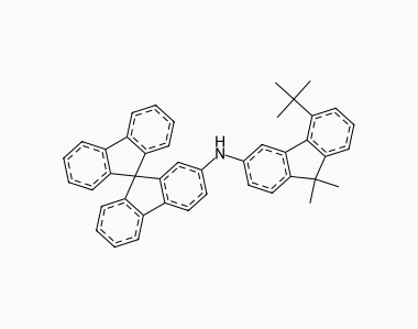 CC(C)(C)c1cccc2c1-c1cc(Nc3ccc4c(c3)C3(c5ccccc5-c5ccccc53)c3ccccc3-4)ccc1C2(C)C